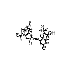 CCCS(=O)(=O)c1cc(C#Cc2cc(Cl)ccc2OC(C(=O)O)C(C)(C)C)c(C)cc1NC(C)=O